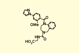 COc1cc(-n2cccn2)ccc1C(=O)N1CCN(C(=O)NCC(=O)O)Cc2ccccc21